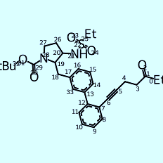 CCC(=O)CCC#Cc1ccccc1-c1cccc(CC2C(NS(=O)(=O)CC)CCN2C(=O)OC(C)(C)C)c1